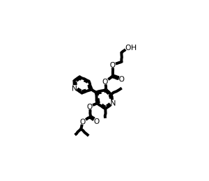 Cc1nc(C)c(OC(=O)OC(C)C)c(-c2cccnc2)c1OC(=O)OCCO